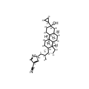 C[C@@H](Cn1cc(C#N)cn1)[C@H]1CC[C@H]2[C@@H]3CC[C@@H]4C[C@@](O)(C5CC5)CC[C@@H]4[C@H]3CC[C@]12C